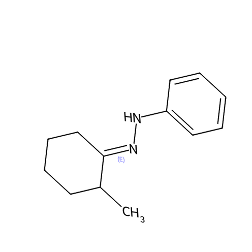 CC1CCCC/C1=N\Nc1ccccc1